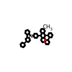 Cc1ccc2c(-c3ccc(-n4c5ccccc5c5cc(-c6ccccc6)ccc54)cc3)c3ccccc3c(-c3ccccc3-c3ccccc3)c2c1